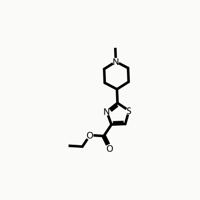 CCOC(=O)c1csc(C2CCN(C)CC2)n1